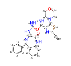 C#Cc1nc(C(=N)OC(=N)N[C@H]2N=C(c3ccccc3)c3ccccc3NC2=O)c(N2CCOCC2)s1